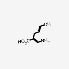 NC=C(CC=CO)C(=O)O